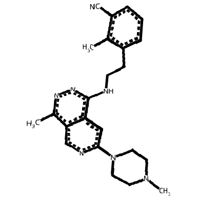 Cc1c(C#N)cccc1CCNc1nnc(C)c2cnc(N3CCN(C)CC3)cc12